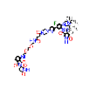 C[C@@H]1CN(c2cc(F)c(-c3ccc(N4CCN(C(=O)CCC(=O)NCCOCCOCCNc5cccc6c5C(=O)N(C5CCC(=O)NC5=O)C6=O)CC4)nc3)cc2NC(=O)c2c[nH]c(=O)cc2C(F)(F)F)C[C@H](C)N1C